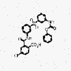 O=C(Nc1cccc(S(=O)(=O)c2cccc(NC(=O)c3cc(Cl)ccc3C(=O)O)c2)c1)Oc1ccccc1